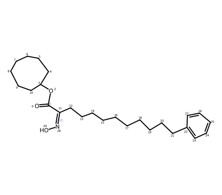 O=C(OC1CCCCCCC1)/C(CCCCCCCCCCc1ccccc1)=N\O